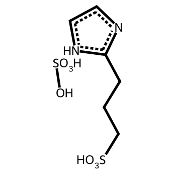 O=S(=O)(O)CCCc1ncc[nH]1.O=S(=O)(O)O